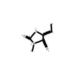 C/C=C1\SC(=O)N(C)C1=O